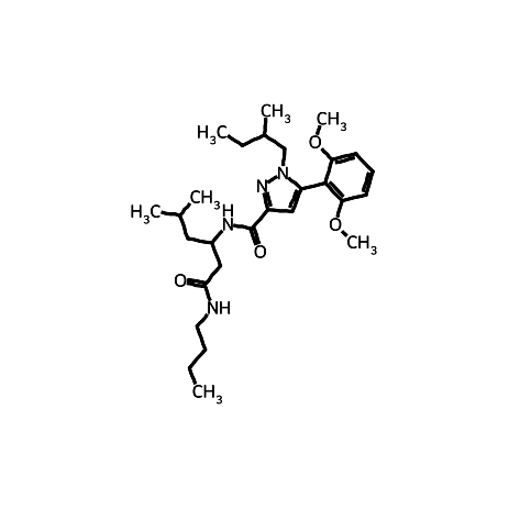 CCCCNC(=O)CC(CC(C)C)NC(=O)c1cc(-c2c(OC)cccc2OC)n(CC(C)CC)n1